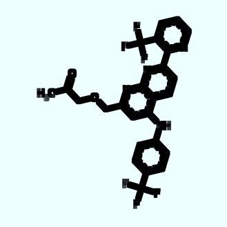 CC(=O)COCc1cc(Nc2ccc(C(F)(F)F)cc2)c2ccc(-c3ncccc3C(F)(F)F)nc2n1